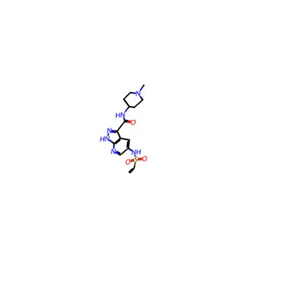 C=CS(=O)(=O)Nc1cnc2[nH]nc(C(=O)NC3CCN(C)CC3)c2c1